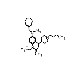 C=C1C=C(C2CCN(CCCC)CC2)c2cc(N(C)CC3=CCCCC=C3)ccc2N1CC